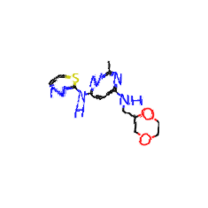 Cc1nc(NCC2COCCO2)cc(Nc2nccs2)n1